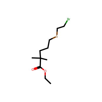 CCOC(=O)C(C)(C)CCCSCCBr